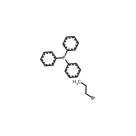 CCCBr.c1ccc(P(c2ccccc2)c2ccccc2)cc1